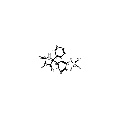 CN1C(=O)C(c2ccccc2)(c2cccc(OS(C)(=O)=O)c2)NC1=S